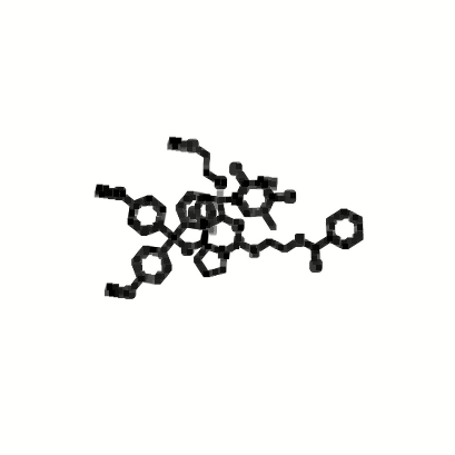 COCCO[C@@]1(n2cc(C)c(=O)[nH]c2=O)CO[C@H](COC(c2ccccc2)(c2ccc(OC)cc2)c2ccc(OC)cc2)C1OP(SCCSC(=O)c1ccccc1)N1CCCC1